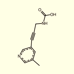 Cc1cncc(C#CCNC(=O)O)c1